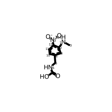 CNc1cc(CNC(=O)O)ccc1[N+](=O)[O-]